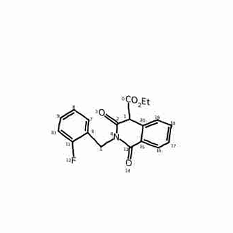 CCOC(=O)C1C(=O)N(Cc2ccccc2F)C(=O)c2ccccc21